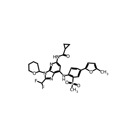 Cc1ccc(-c2ccc(Nc3cc(NC(=O)C4CC4)nc4c3nc(C(F)F)n4C3CCCCO3)c(S(C)(=O)=O)c2)o1